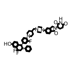 O=C1CC[C@H](N2Cc3cc(N4CCN(CC5CCN(c6ccc([C@@H]7c8ccc(O)cc8C(F)(F)C[C@@H]7c7ccccc7)cc6F)CC5)CC4)ccc3C2=O)C(=O)N1